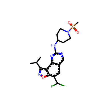 CC(C)c1noc2c(C(F)F)cc3cnc(NC4CCN(S(C)(=O)=O)CC4)nc3c12